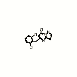 Clc1cccc(Cl)c1Cc1cc(Cl)n2nccc2n1